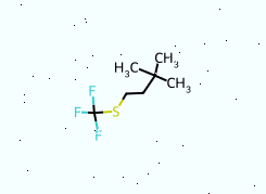 CC(C)(C)CCSC(F)(F)F